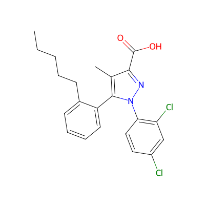 CCCCCc1ccccc1-c1c(C)c(C(=O)O)nn1-c1ccc(Cl)cc1Cl